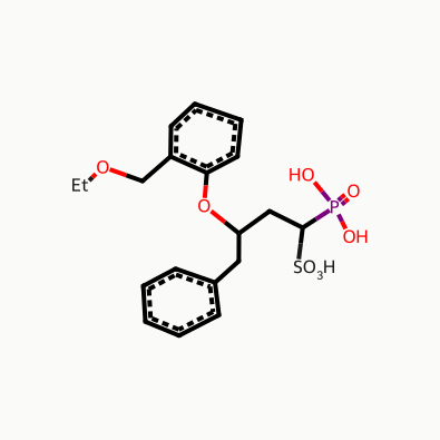 CCOCc1ccccc1OC(Cc1ccccc1)CC(P(=O)(O)O)S(=O)(=O)O